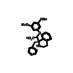 COc1cc(OC)cc(O[C@H](C(=O)O)[C@@]2(Cc3ccccc3)NCCc3ccccc32)c1